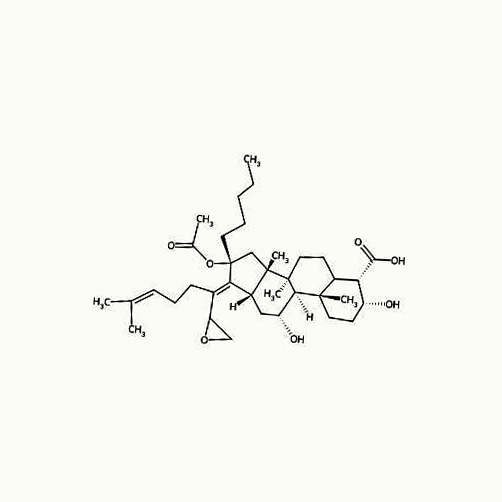 CCCCC[C@@]1(OC(C)=O)C[C@@]2(C)[C@H](C[C@@H](O)[C@@H]3[C@@]4(C)CC[C@@H](O)[C@@H](C(=O)O)C4CC[C@@]32C)C1=C(CCC=C(C)C)C1CO1